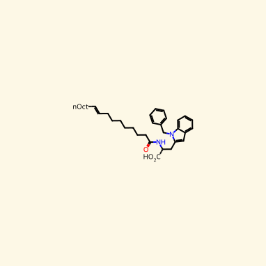 CCCCCCCCC=CCCCCCCCC(=O)NC(Cc1cc2ccccc2n1Cc1ccccc1)C(=O)O